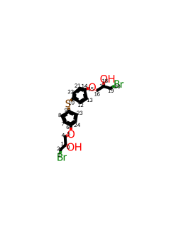 OC(CBr)COc1ccc(Sc2ccc(OCC(O)CBr)cc2)cc1